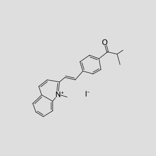 CC(C)C(=O)c1ccc(C=Cc2ccc3ccccc3[n+]2C)cc1.[I-]